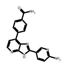 NC(=O)c1ccc(-c2ccnc3[nH]c(-c4ccc(N)nc4)nc23)cc1